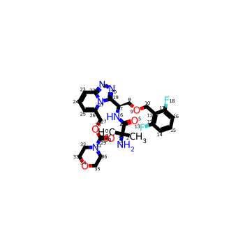 CC(C)(N)C(=O)N[C@H](COCc1c(F)cccc1F)c1nnc2cccc(COC(=O)N3CCOCC3)n12